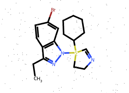 CCc1nn(S2(C3CCCCC3)C=NCC2)c2cc(Br)ccc12